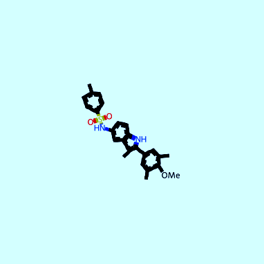 COc1c(C)cc(-c2[nH]c3ccc(NS(=O)(=O)c4ccc(C)cc4)cc3c2C)cc1C